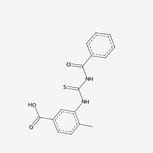 Cc1ccc(C(=O)O)cc1NC(=S)NC(=O)c1ccccc1